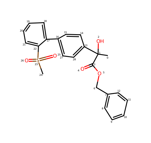 CC(O)(C(=O)OCc1ccccc1)c1ccc(-c2ccccc2S(C)(=O)=O)cc1